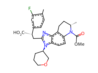 COC(=O)N1c2ccc3c(nc(C[C@H](C(=O)O)c4ccc(C)c(F)c4)n3[C@@H]3CCCOC3)c2CC[C@@H]1C